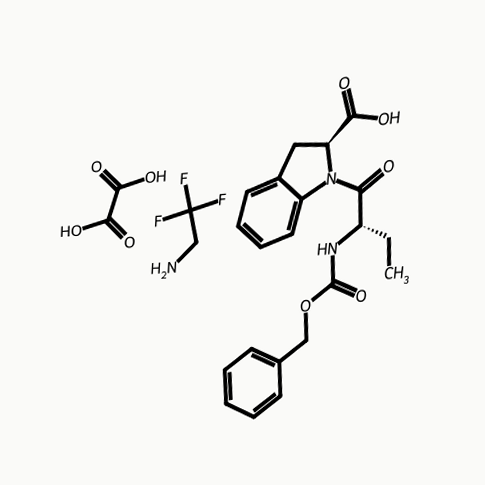 CC[C@H](NC(=O)OCc1ccccc1)C(=O)N1c2ccccc2C[C@H]1C(=O)O.NCC(F)(F)F.O=C(O)C(=O)O